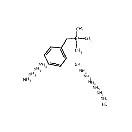 C[N+](C)(C)Cc1ccccc1.N.N.N.N.N.N.N.N.N.N.N.[OH-]